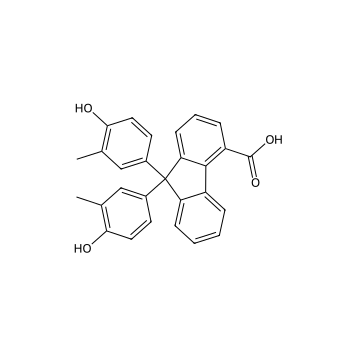 Cc1cc(C2(c3ccc(O)c(C)c3)c3ccccc3-c3c(C(=O)O)cccc32)ccc1O